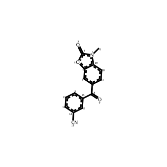 Cn1c(=O)oc2cc(C(=O)c3cccc(C#N)c3)ccc21